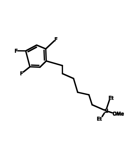 CC[Si](CC)(CCCCCCc1cc(F)c(F)cc1F)OC